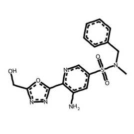 CN(Cc1ccccc1)S(=O)(=O)c1cnc(-c2nnc(CO)o2)c(N)c1